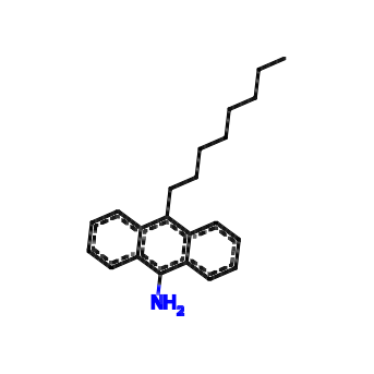 CCCCCCCCc1c2ccccc2c(N)c2ccccc12